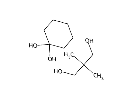 CC(C)(CO)CO.OC1(O)CCCCC1